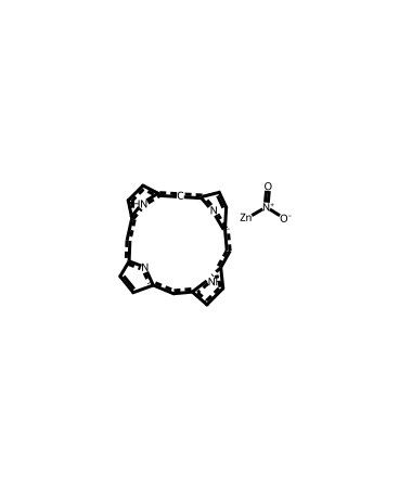 C1=Cc2cc3ccc(cc4nc(cc5ccc(cc1n2)[nH]5)C=C4)[nH]3.O=[N+]([O-])[Zn]